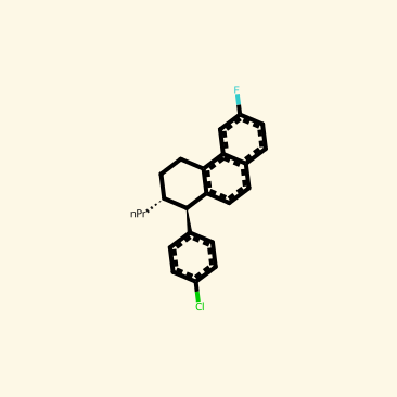 CCC[C@@H]1CCc2c(ccc3ccc(F)cc23)[C@H]1c1ccc(Cl)cc1